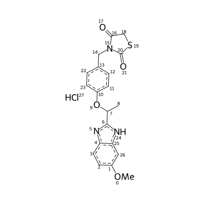 COc1ccc2nc(C(C)Oc3ccc(CN4C(=O)CSC4=O)cc3)[nH]c2c1.Cl